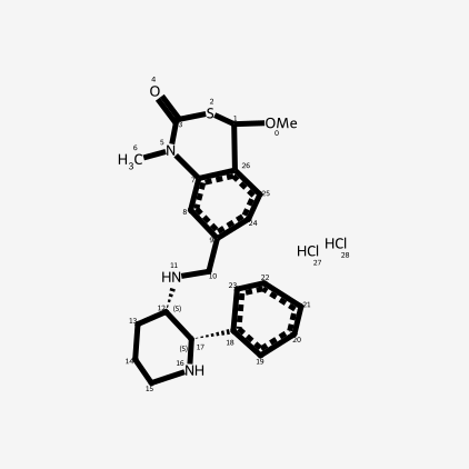 COC1SC(=O)N(C)c2cc(CN[C@H]3CCCN[C@H]3c3ccccc3)ccc21.Cl.Cl